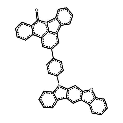 O=c1c2ccccc2c2cc(-c3ccc(-n4c5ccccc5c5cc6c(cc54)oc4ccccc46)cc3)cc3c4ccccc4n1c23